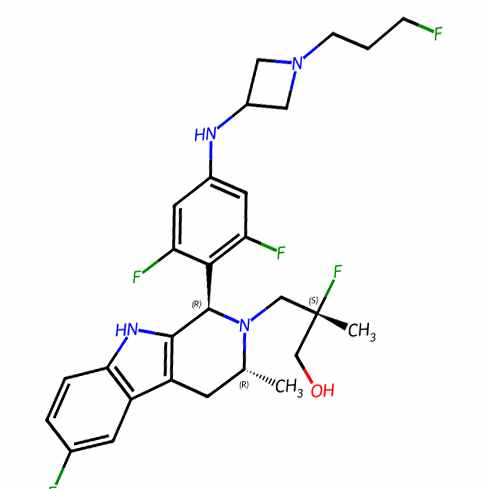 C[C@@H]1Cc2c([nH]c3ccc(F)cc23)[C@@H](c2c(F)cc(NC3CN(CCCF)C3)cc2F)N1C[C@](C)(F)CO